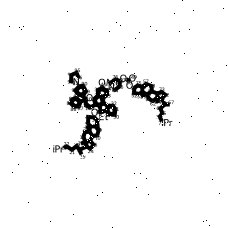 CCC1(OC2CCC3(C)C(=CCC4C3CCC3(C)C(C(C)CCCC(C)C)CCC43)C2)c2ccccc2-c2c1c1c(c3cc(OC)c(N4CCC(OC(=O)OC5CCC6(C)C(=CCC7C6CCC6(C)C(C(C)CCCC(C)C)CCC76)C5)CC4)cc23)OC(c2ccccc2)(c2ccc(N3CCCC3)cc2)C=C1